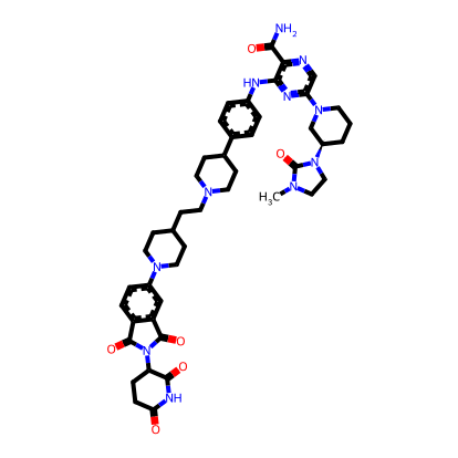 CN1CCN([C@@H]2CCCN(c3cnc(C(N)=O)c(Nc4ccc(C5CCN(CCC6CCN(c7ccc8c(c7)C(=O)N(C7CCC(=O)NC7=O)C8=O)CC6)CC5)cc4)n3)C2)C1=O